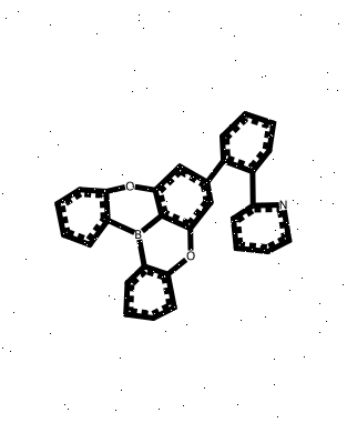 c1ccc(-c2ccccc2-c2cc3c4c(c2)Oc2ccccc2B4c2ccccc2O3)nc1